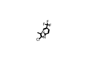 Cc1c(Cl)nc2ccc(C(F)(F)F)cn12